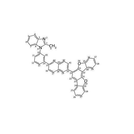 Cc1nc2ccccc2n1-c1cccc(-c2ccc3cc(-c4cc5c6ccccc6oc5c5c4oc4ccccc45)ccc3c2)c1